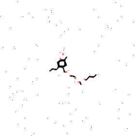 CCCCOC(C)OCCOCc1cc2c(cc1CCC)OOC2